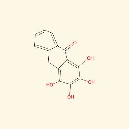 O=C1c2ccccc2Cc2c(O)c(O)c(O)c(O)c21